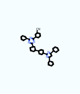 N#Cc1cccc(-c2nc(-c3ccccc3)nc(-c3cccc(-c4ccc(-c5nc(-c6ccccc6)cc(-c6ccccc6)n5)cc4)c3)n2)c1